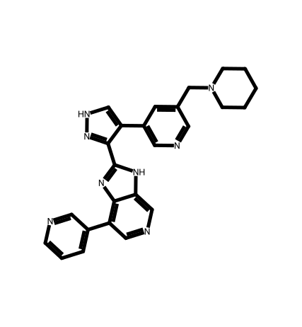 c1cncc(-c2cncc3[nH]c(-c4n[nH]cc4-c4cncc(CN5CCCCC5)c4)nc23)c1